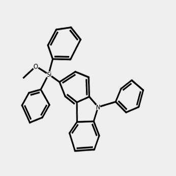 CO[Si](c1ccccc1)(c1ccccc1)c1ccc2c(c1)c1ccccc1n2-c1ccccc1